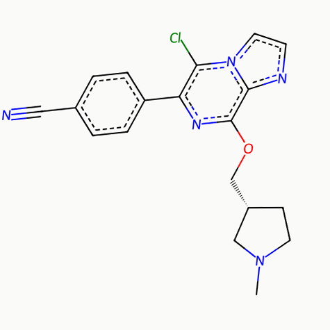 CN1CC[C@@H](COc2nc(-c3ccc(C#N)cc3)c(Cl)n3ccnc23)C1